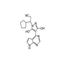 N#CCC(C1CCCC1)n1nc(O)c(-c2ncnc3[nH]ccc23)c1O